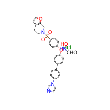 Cl.O=CNO.O=S(=O)(c1ccc(Oc2ccc(-c3ccc(-n4ccnc4)cc3)cc2)cc1)N1CCc2ccoc2C1